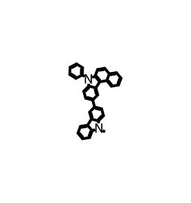 Cn1c2ccccc2c2cc(-c3ccc4c(c3)c3c5ccccc5ccc3n4-c3ccccc3)ccc21